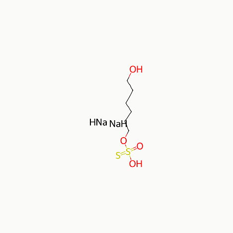 O=S(O)(=S)OCCCCCCO.[NaH].[NaH]